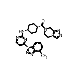 O=C([C@H]1CC[C@@H](Nc2nccc(-n3nnc4c(C(F)(F)F)cccc43)n2)CC1)N1CCn2cnnc2C1